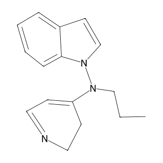 CCCN(C1=CC=NCC1)n1ccc2ccccc21